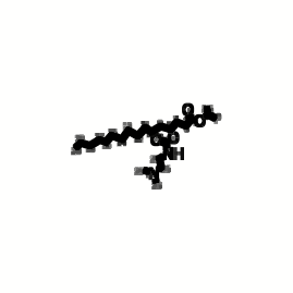 [CH2]C([CH2])OC(=O)CCC(CCCCCCCCCCCC)OC(=O)NCCN(C)C